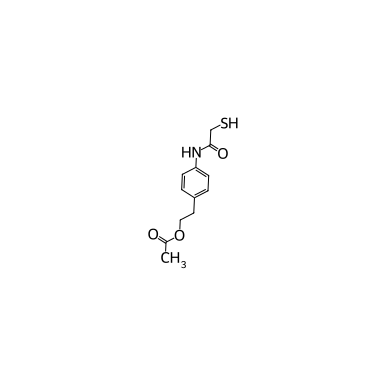 CC(=O)OCCc1ccc(NC(=O)CS)cc1